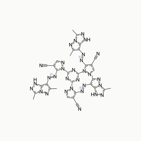 Cc1nn2c(C)n[nH]c2c1/N=N/c1c(C#N)cnn1-c1nc(-n2ncc(C#N)c2/N=N/c2c(C)nn3c(C)n[nH]c23)nc(-n2ncc(C#N)c2/N=N/c2c(C)nn3c(C)n[nH]c23)n1